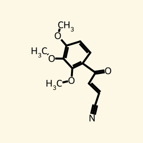 COc1ccc(C(=O)C=CC#N)c(OC)c1OC